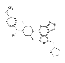 Cc1nc2c(N3C[C@@H](C)N([C@@H](c4ccc(OC(F)(F)F)cc4)C(C)C)C[C@@H]3C)nc3nncn3c2n1C[C@@H]1CCCO1